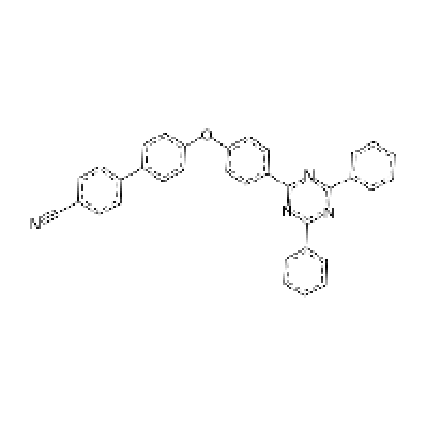 N#Cc1ccc(-c2ccc(Oc3ccc(-c4nc(-c5ccccc5)nc(-c5ccccc5)n4)cc3)cc2)cc1